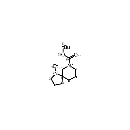 CCN1CCCC12CCCN(C(=O)OC(C)(C)C)C2